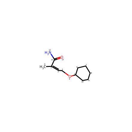 CC(=CCOC1CCCCC1)C(N)=O